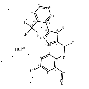 C[C@H](Oc1ccc(Cl)cc1C=O)c1nnc(-c2ccccc2C(F)(F)F)n1C.Cl